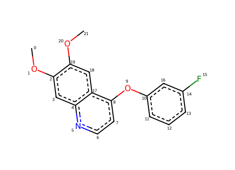 COc1cc2nccc(Oc3cccc(F)c3)c2cc1OC